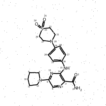 NC(=O)c1ncc(N2CCCCC2)nc1Nc1ccc(N2CCS(=O)(=O)CC2)cc1